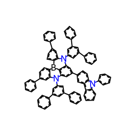 c1ccc(-c2cc(-c3ccccc3)cc(N3c4cc(-c5ccccc5)ccc4B4c5ccc(-c6ccccc6)cc5N(c5cc(-c6ccccc6)cc(-c6ccccc6)c5)c5cc(-c6ccc7c(c6)c6ccccc6n7-c6ccccc6)cc3c54)c2)cc1